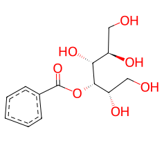 O=C(O[C@H]([C@H](O)[C@H](O)CO)[C@@H](O)CO)c1ccccc1